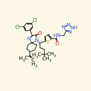 C=C(C)C1CCC2(CC1)N=C(c1cc(Cl)cc(Cl)c1)C(=O)N2C(CCC(C)(C)C)c1ccc(C(=O)NCc2nn[nH]n2)s1